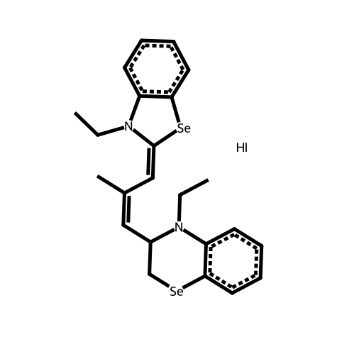 CCN1C(=CC(C)=CC2C[Se]c3ccccc3N2CC)[Se]c2ccccc21.I